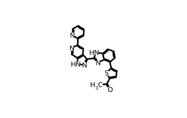 CC(=O)c1ccc(-c2cccc3[nH]c(-c4n[nH]c5cnc(-c6ccccn6)cc45)nc23)s1